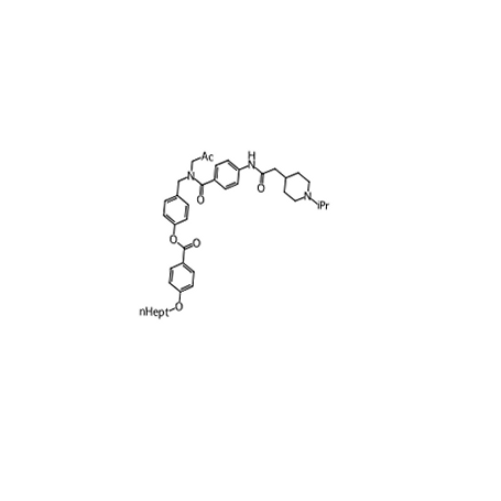 CCCCCCCOc1ccc(C(=O)Oc2ccc(CN(CC(C)=O)C(=O)c3ccc(NC(=O)CC4CCN(C(C)C)CC4)cc3)cc2)cc1